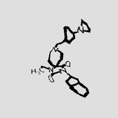 CCN1C(=O)N(C2Cc3ccccc3C2)C(=O)C12CCN(Cc1ccc(N3CCC3)cc1)CC2